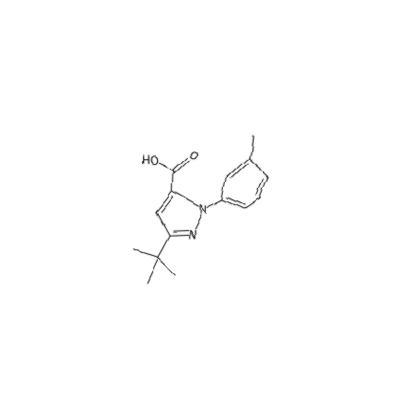 Cc1cccc(-n2nc(C(C)(C)C)cc2C(=O)O)c1